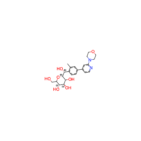 Cc1cc(-c2ccnc(N3CCOCC3)c2)ccc1[C@@H](O)[C@H]1OC(CO)[C@@H](O)[C@H](O)C1O